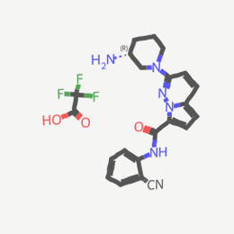 N#Cc1ccccc1NC(=O)c1ccc2ccc(N3CCC[C@@H](N)C3)nn12.O=C(O)C(F)(F)F